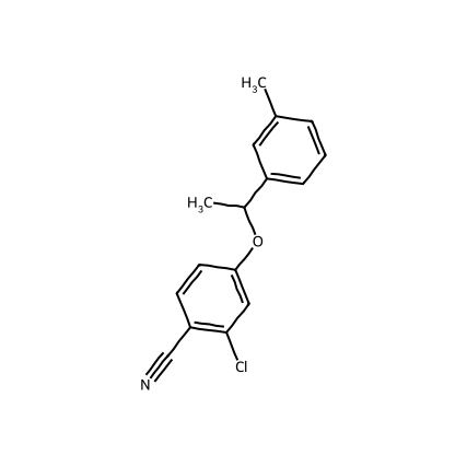 Cc1cccc(C(C)Oc2ccc(C#N)c(Cl)c2)c1